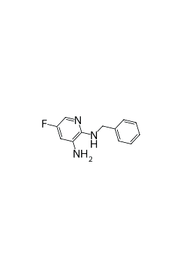 Nc1cc(F)cnc1NCc1ccccc1